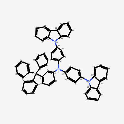 c1ccc([Si](c2ccccc2)(c2ccccc2)c2cccc(N(c3ccc(-n4c5ccccc5c5ccccc54)cc3)c3ccc(-n4c5ccccc5c5ccccc54)cc3)c2)cc1